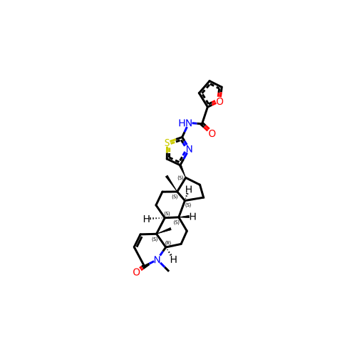 CN1C(=O)C=C[C@]2(C)[C@H]3CC[C@]4(C)[C@@H](c5csc(NC(=O)c6ccco6)n5)CC[C@H]4[C@@H]3CC[C@@H]12